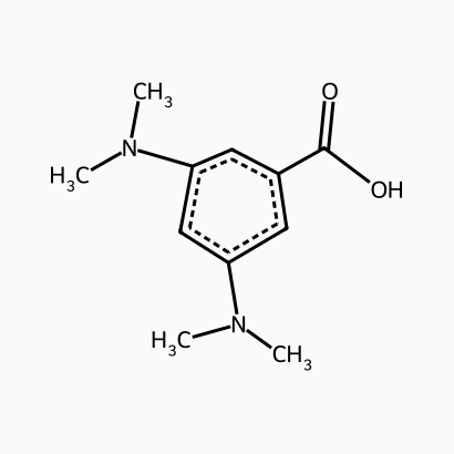 CN(C)c1cc(C(=O)O)cc(N(C)C)c1